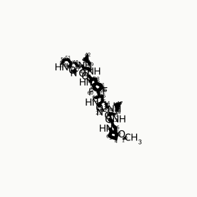 CCOc1cccc2[nH]c(C(=O)N[C@@H](CC3CC3)C(=O)N[C@H](C#N)C[C@@H]3CC(c4c(F)cc5cc(C(=O)N[C@@H](CC6CC6)C(=O)N[C@H](C#N)C[C@@H]6CCCNC6=O)[nH]c5c4F)CNC3=O)cc12